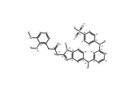 COc1cccc(CC(=O)Nc2nc3cc(N(C)c4ccnc(N(C)c5ccc(S(C)(=O)=O)cc5)n4)ccc3n2C)c1OC